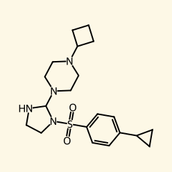 O=S(=O)(c1ccc(C2CC2)cc1)N1CCNC1N1CCN(C2CCC2)CC1